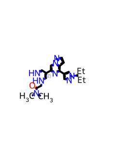 CCC(CC)n1cc(-c2nc(/C(C=N)=C/NCC(=O)N(C)C)cn3nccc23)cn1